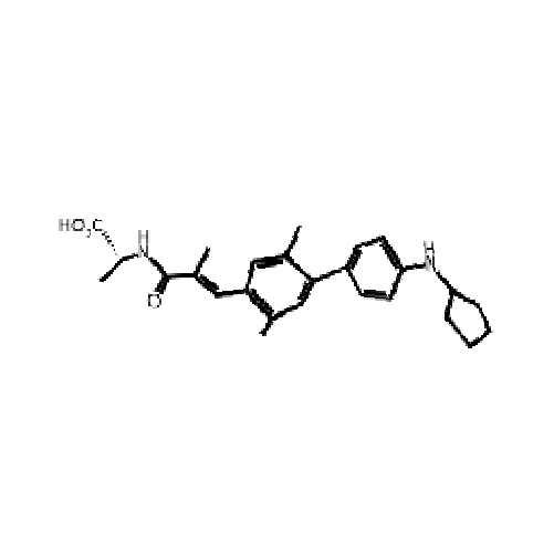 C/C(=C\c1cc(C)c(-c2ccc(NC3CCCC3)cc2)cc1C)C(=O)N[C@H](C)C(=O)O